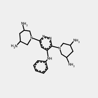 NC1CC(N)CN(c2cc(Nc3ccccc3)c(N3CC(N)CC(N)C3)nn2)C1